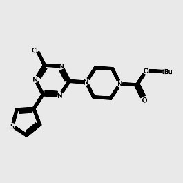 CC(C)(C)OC(=O)N1CCN(c2nc(Cl)nc(-c3ccsc3)n2)CC1